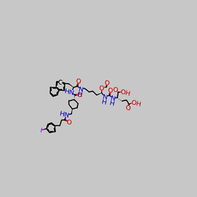 O=CO[C@H](CCCCNC(=O)[C@H](Cc1ccc2ccccc2c1)NC(=O)[C@H]1CC[C@H](CNC(=O)CCc2ccc(I)cc2)CC1)NC(=O)N[C@@H](CCC(=O)O)C(=O)O